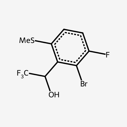 CSc1ccc(F)c(Br)c1C(O)C(F)(F)F